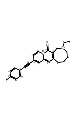 CCN1CCCCc2nc3cc(C#Cc4ccc(C)cc4)ccn3c(=O)c2C1